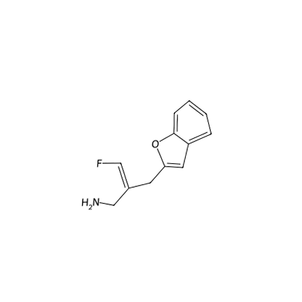 NCC(=CF)Cc1cc2ccccc2o1